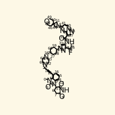 Cn1c(=O)n(C2CCC(=O)NC2=O)c2cccc(C#CCN3CCN(C[C@H]4CC[C@H](n5cc(NC(=O)c6cnn7ccc(N8CC9(CCOCC9)C8)nc67)c(C(F)F)n5)CC4)CC3)c21